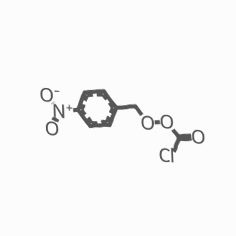 O=C(Cl)OOCc1ccc([N+](=O)[O-])cc1